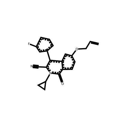 C=CCOc1ccc2c(=O)n(C3CC3)c(C#N)c(-c3cccc(F)c3)c2c1